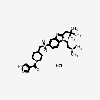 CN(C)CCn1c(CC(C)(C)C)nc2cc(S(=O)(=O)CC3CCN(C(=O)c4cn[nH]c4)CC3)ccc21.Cl